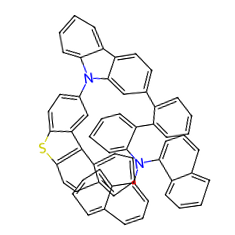 c1ccc(-c2ccccc2N(c2cccc3ccccc23)c2cccc3ccccc23)c(-c2ccc3c4ccccc4n(-c4ccc5sc6ccc7ccccc7c6c5c4)c3c2)c1